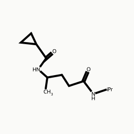 CC(C)NC(=O)CCC(C)NC(=O)C1CC1